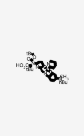 CCCCN(C)c1ccc(CN(Cc2cccc(N(C(=O)OC(C)(C)C)C(C(=O)O)C(C)(C)C)n2)S(=O)(=O)c2ccccn2)cc1